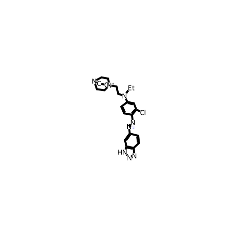 CCN(CC[N+]12CCN(CC1)CC2)c1ccc(/N=N/c2ccc3nn[nH]c3c2)c(Cl)c1